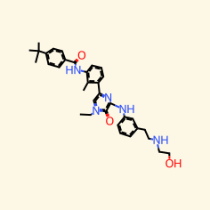 CCn1cc(-c2cccc(NC(=O)c3ccc(C(C)(C)C)cc3)c2C)nc(Nc2cccc(CCNCCO)c2)c1=O